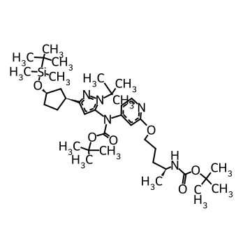 C[C@@H](CCCOc1cc(N(C(=O)OC(C)(C)C)c2cc([C@H]3CC[C@@H](O[Si](C)(C)C(C)(C)C)C3)nn2C(C)(C)C)ccn1)NC(=O)OC(C)(C)C